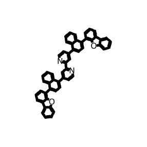 c1ccc2c(c1)oc1c(-c3ccc(-c4ccnc(-c5cc(-c6ccc(-c7cccc8c7oc7ccccc78)c7ccccc67)ccn5)c4)c4ccccc34)cccc12